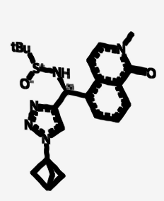 Cn1ccc2c([C@H](N[S+]([O-])C(C)(C)C)c3cn(C45CC(C4)C5)nn3)cccc2c1=O